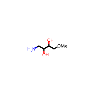 COCC(O)C(O)CN